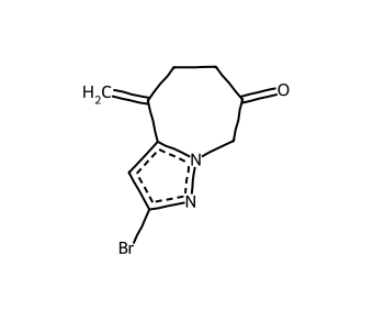 C=C1CCC(=O)Cn2nc(Br)cc21